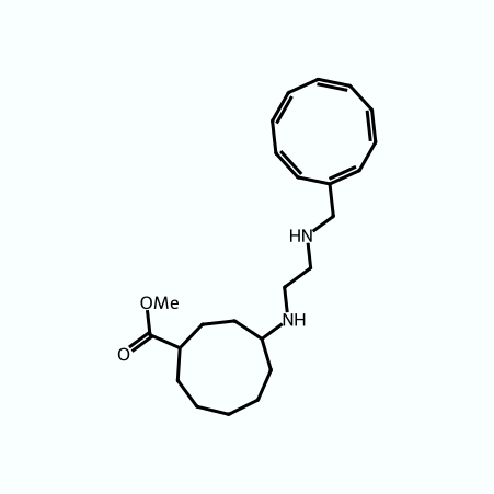 COC(=O)C1CCCCCC(NCCNCc2ccccccccc2)CC1